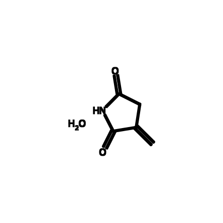 C=C1CC(=O)NC1=O.O